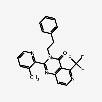 Cc1cccnc1-c1nc2ccnc(C(F)(F)F)c2c(=O)n1CCc1ccccc1